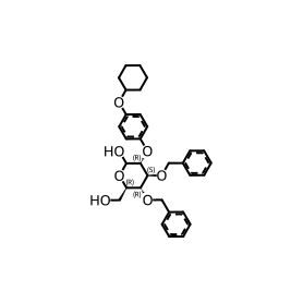 OC[C@H]1OC(O)[C@H](Oc2ccc(OC3CCCCC3)cc2)[C@@H](OCc2ccccc2)[C@@H]1OCc1ccccc1